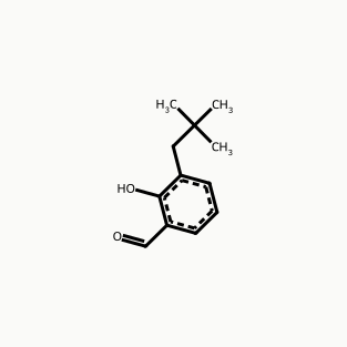 CC(C)(C)Cc1cccc(C=O)c1O